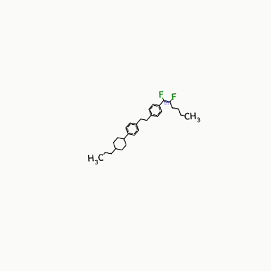 CCCC/C(F)=C(/F)c1ccc(CCc2ccc(C3CCC(CCC)CC3)cc2)cc1